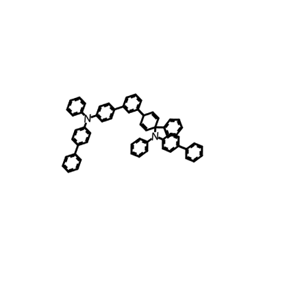 C1=CC(c2ccccc2)(N(c2ccccc2)c2ccc(-c3ccccc3)cc2)C=CC1c1cccc(-c2ccc(N(c3ccccc3)c3ccc(-c4ccccc4)cc3)cc2)c1